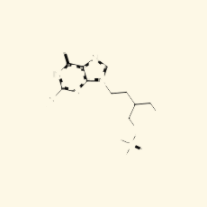 Nc1nc2c(ncn2CCC(CO)COP(=O)(O)O)c(=O)[nH]1